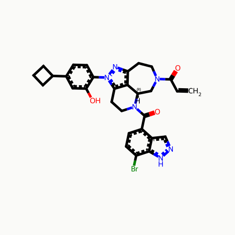 C=CC(=O)N1CCc2nn(-c3ccc(C4CCC4)cc3O)c3c2[C@H](C1)N(C(=O)c1ccc(Br)c2[nH]ncc12)CC3